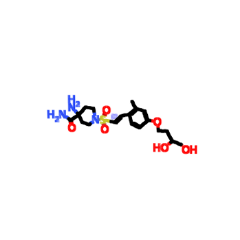 Cc1cc(OCCC(O)CO)ccc1/C=C/S(=O)(=O)N1CCC(N)(C(N)=O)CC1